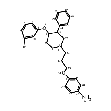 Cc1cccc(OC2CCN(CCCOc3ccc(N)cc3)CC2c2ccccc2)c1